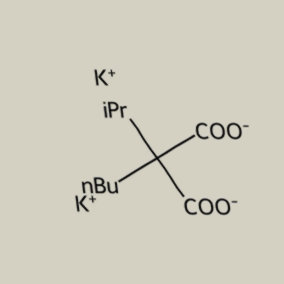 CCCCC(C(=O)[O-])(C(=O)[O-])C(C)C.[K+].[K+]